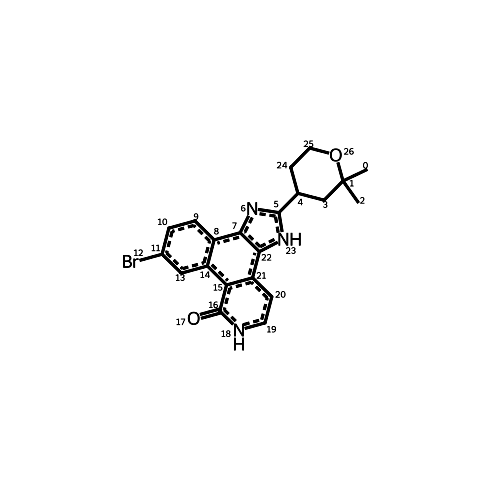 CC1(C)CC(c2nc3c4ccc(Br)cc4c4c(=O)[nH]ccc4c3[nH]2)CCO1